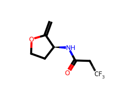 C=C1OCC[C@@H]1NC(=O)CC(F)(F)F